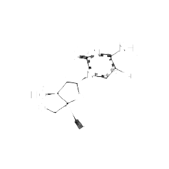 C#C[C@]1(CO)O[C@H](n2cc(Br)c(N)nc2=O)C[C@@H]1O